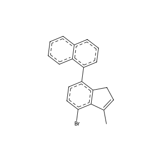 CC1=CCc2c(-c3cccc4ccccc34)ccc(Br)c21